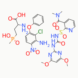 COc1cc(OC)nc(NC(=O)NS(=O)(=O)c2ncccc2C(=O)N(C)C)n1.CP(=O)(O)CCC(N)C(=O)O.Nc1c([N+](=O)[O-])ccc(Oc2ccccc2)c1Cl